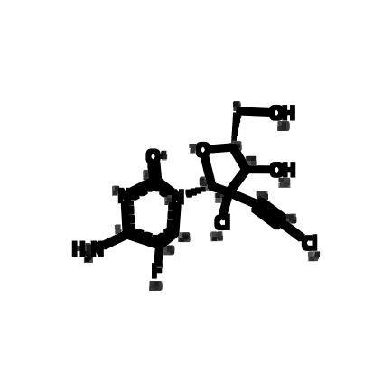 Nc1nc(=O)n([C@@H]2O[C@H](CO)C(O)C2(Cl)C#CCl)cc1F